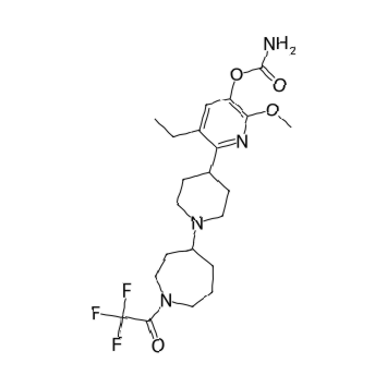 CCc1cc(OC(N)=O)c(OC)nc1C1CCN(C2CCCN(C(=O)C(F)(F)F)CC2)CC1